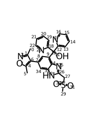 Cc1noc(C)c1-c1cc(C(O)(c2ccccn2)c2ccccn2)c2nc(CS(C)(=O)=O)[nH]c2c1